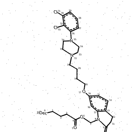 CCCCCCCCCCCCCC(=O)OCN1C(=O)CCc2ccc(OCCCCN3CCN(c4cccc(Cl)c4Cl)CC3)cc21